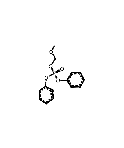 COCOP(=O)(Oc1ccccc1)Oc1ccccc1